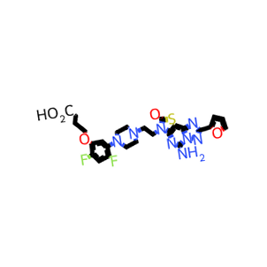 Nc1nc2c(sc(=O)n2CCN2CCN(c3cc(OCCCC(=O)O)c(F)cc3F)CC2)c2nc(-c3ccco3)nn12